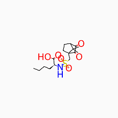 CCCC[C@H](NS(=O)(=O)CC12CCC(C(=O)C1=O)C2(C)C)C(=O)O